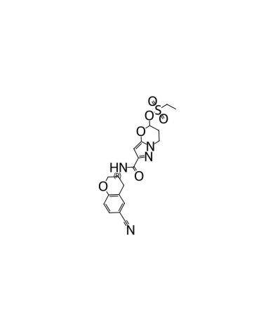 CCS(=O)(=O)OC1CCn2nc(C(=O)N[C@H]3COc4ccc(C#N)cc4C3)cc2O1